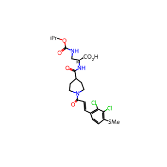 CSc1ccc(C=CC(=O)N2CCC(C(=O)N[C@@H](CNC(=O)OC(C)C)C(=O)O)CC2)c(Cl)c1Cl